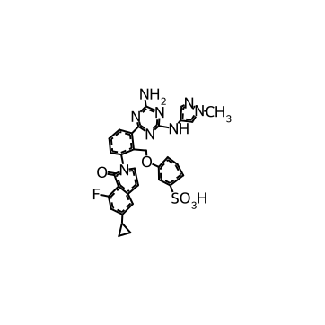 Cn1cc(Nc2nc(N)nc(-c3cccc(-n4ccc5cc(C6CC6)cc(F)c5c4=O)c3COc3cccc(S(=O)(=O)O)c3)n2)cn1